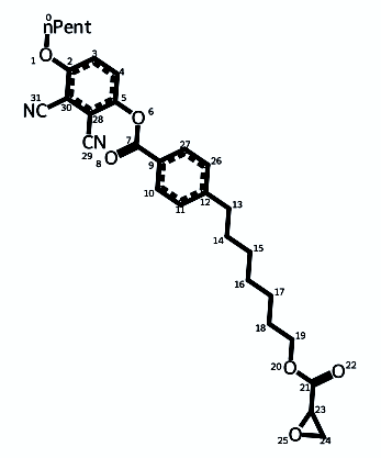 CCCCCOc1ccc(OC(=O)c2ccc(CCCCCCCOC(=O)C3CO3)cc2)c(C#N)c1C#N